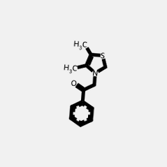 CC1=C(C)N(CC(=O)c2ccccc2)CS1